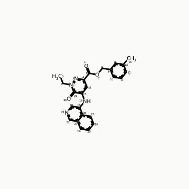 CCn1nc(C(=O)OCc2cccc(C)c2)cc(Nc2cncc3ccccc23)c1=O